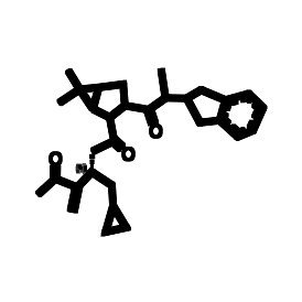 C=C(C(C)=O)[C@H](CC(=O)C1C(C(=O)C(C)C2Cc3ccccc3C2)CC2C1C2(C)C)CC1CC1